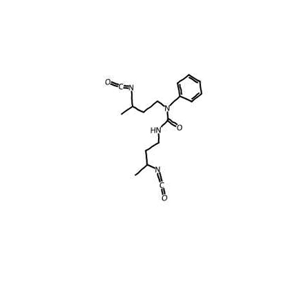 CC(CCNC(=O)N(CCC(C)N=C=O)c1ccccc1)N=C=O